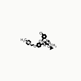 CN1CCN(CCOc2ccc(-c3nc4c(OC5(C)CC5)ncnc4n3Cc3cccc(Cl)c3)c(Cl)c2)CC1